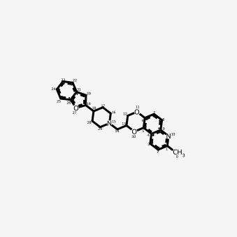 Cc1ccc2c3c(ccc2n1)OCC(CN1CCC(c2cc4ccccc4o2)CC1)O3